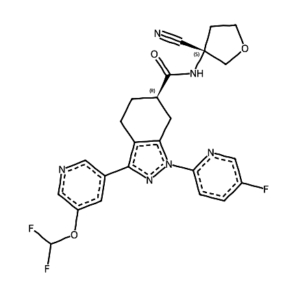 N#C[C@@]1(NC(=O)[C@@H]2CCc3c(-c4cncc(OC(F)F)c4)nn(-c4ccc(F)cn4)c3C2)CCOC1